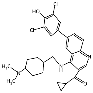 CN(C)C1CCC(CNc2c(C(=O)C3CC3)cnc3ccc(-c4cc(Cl)c(O)c(Cl)c4)cc23)CC1